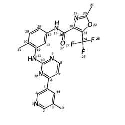 Cc1cncc(-c2ccnc(Nc3cc(NC(=O)c4nc(C)oc4C(F)(F)F)ccc3C)n2)c1